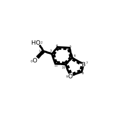 O=C(O)c1ccc2bcoc2c1